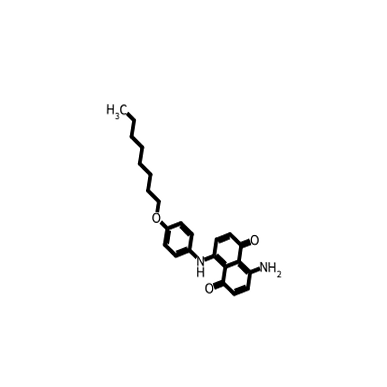 CCCCCCCCOc1ccc(NC2=C3C(=O)C=CC(N)=C3C(=O)C=C2)cc1